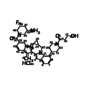 Cc1c(-c2cc3cccc(C4CCN(C(=O)CCO)CC4)c3n2CC2CC2)nn2cc(C(=O)N3C[C@H](N)C[C@@H](F)C3)ccc12.Cl